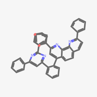 c1ccc(-c2cc(-c3ccccc3-c3cc(-c4ccccc4)nc4c3ccc3ccc(-c5ccccc5)nc34)nc(-c3ccccc3)n2)cc1